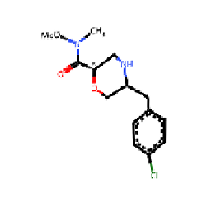 CON(C)C(=O)[C@H]1CNC(Cc2ccc(Cl)cc2)CO1